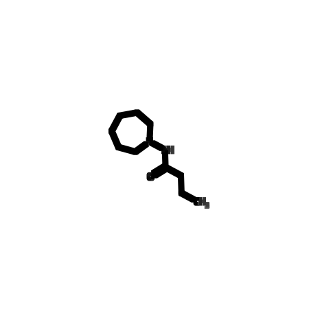 CCCC(=O)NN1CCCCCC1